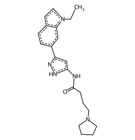 CCn1ccc2ccc(-c3cc(NC(=O)CCCN4CCCC4)[nH]n3)cc21